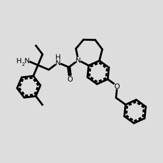 CCC(N)(CNC(=O)N1CCCCc2cc(OCc3ccccc3)ccc21)c1cccc(C)c1